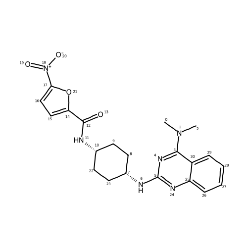 CN(C)c1nc(N[C@H]2CC[C@@H](NC(=O)c3ccc([N+](=O)[O-])o3)CC2)nc2ccccc12